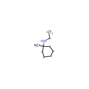 N#CC1(NCC(F)(F)F)CCCCC1